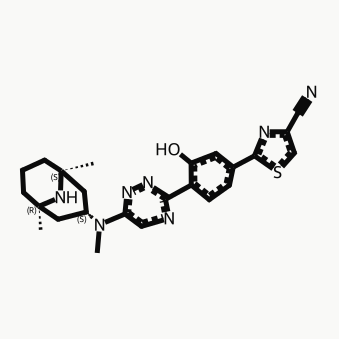 CN(c1cnc(-c2ccc(-c3nc(C#N)cs3)cc2O)nn1)[C@H]1C[C@]2(C)CCC[C@](C)(C1)N2